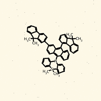 CC1(C)c2ccccc2-c2ccc(-c3ccc4c(N5c6ccccc6[Si](C)(C)c6ccccc65)c5ccccc5c(-c5cccc6c5-c5ccccc5C6(C)C)c4c3)cc21